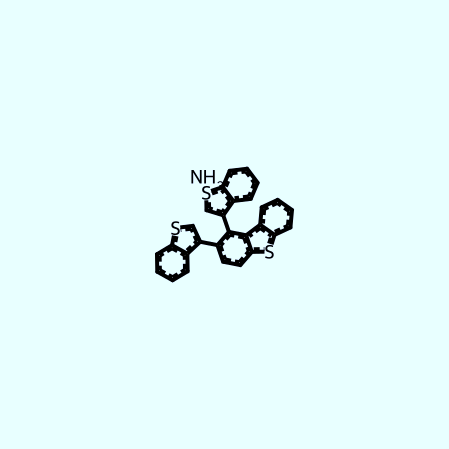 N.c1ccc2c(-c3ccc4sc5ccccc5c4c3-c3csc4ccccc34)csc2c1